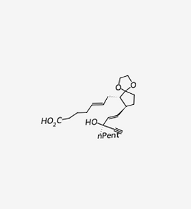 C#C[C@@](O)(C=C[C@@H]1CCC2(OCCO2)[C@H]1CC=CCCCC(=O)O)CCCCC